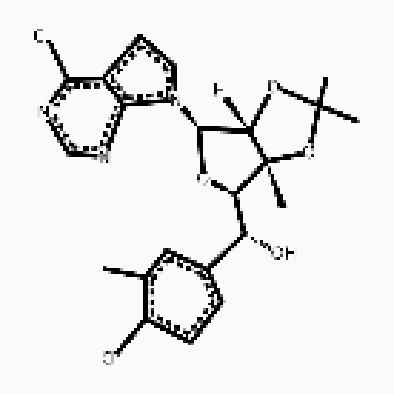 Cc1cc([C@@H](O)[C@H]2O[C@@H](n3ccc4c(Cl)ncnc43)[C@@H]3OC(C)(C)O[C@]23C)ccc1Cl